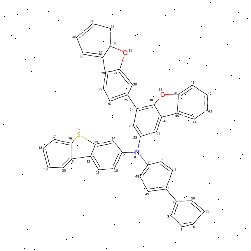 c1ccc(-c2ccc(N(c3ccc4c(c3)sc3ccccc34)c3cc(-c4ccc5c(c4)oc4ccccc45)c4oc5ccccc5c4c3)cc2)cc1